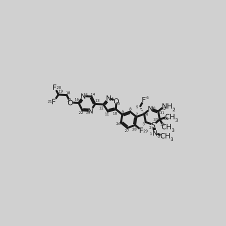 C/N=S1/C[C@@](CF)(c2cc(-c3cc(-c4cnc(OCC(F)F)cn4)no3)ccc2F)N=C(N)C1(C)C